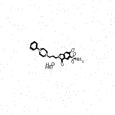 Cl.NS(=O)(=O)c1cc2c(cc1Cl)CN(CCCN1CCN(c3ccccc3)CC1)C2=O.O